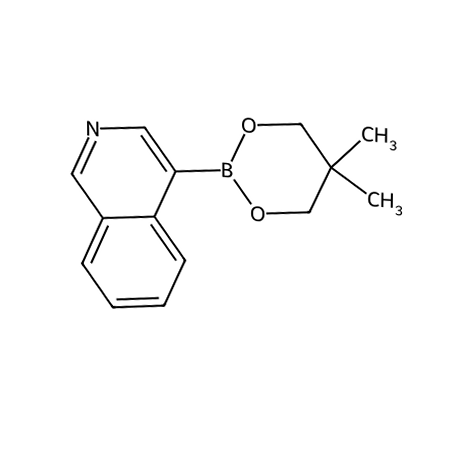 CC1(C)COB(c2cncc3ccccc23)OC1